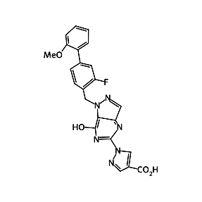 COc1ccccc1-c1ccc(Cn2ncc3nc(-n4cc(C(=O)O)cn4)nc(O)c32)c(F)c1